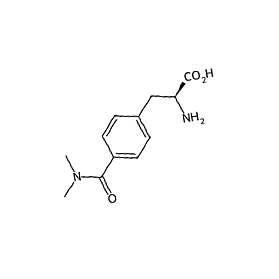 CN(C)C(=O)c1ccc(C[C@H](N)C(=O)O)cc1